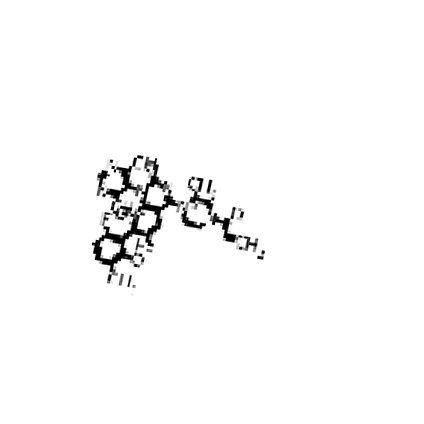 C=CC(=O)N1CCN(c2nc(=O)n(-c3c(C)ncnc3C)c3c2cc(F)c(-c2c(F)ccc(C)c2O)[n+]3[O-])[C@@H](C)C1